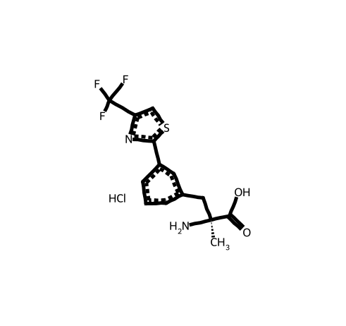 C[C@](N)(Cc1cccc(-c2nc(C(F)(F)F)cs2)c1)C(=O)O.Cl